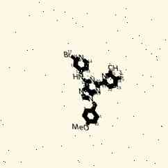 COc1ccc(Cn2cnc3c(Nc4ccnc(Br)c4)nc(-c4ccc(F)c(C)n4)nc32)cc1